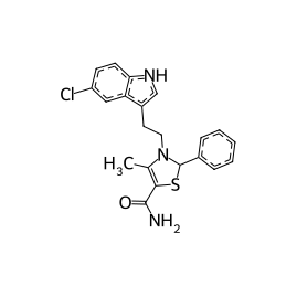 CC1=C(C(N)=O)SC(c2ccccc2)N1CCc1c[nH]c2ccc(Cl)cc12